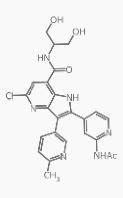 CC(=O)Nc1cc(-c2[nH]c3c(C(=O)NC(CO)CO)cc(Cl)nc3c2-c2ccc(C)nc2)ccn1